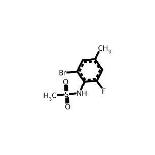 Cc1cc(F)c(NS(C)(=O)=O)c(Br)c1